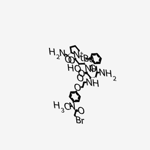 CN(C(=O)CBr)c1ccc(OCC(=O)N[C@@H](CC(N)=O)C(=O)N[C@@H](Cc2ccccc2)[C@H](O)C(=O)[N+]2(C(C)(C)C)CCC[C@H]2C(N)=O)cc1